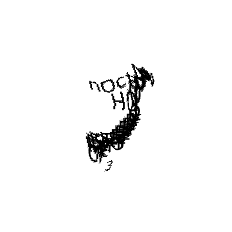 CCCCCCCCc1cc(-c2ncccn2)ccc1OCC(O)COCC(F)(F)C(F)(F)C(F)(F)C(F)(F)C(F)(F)C(F)(F)C(F)(F)OC(F)(F)C(F)(F)OC(F)(F)C(F)(F)C(F)(F)C(F)(F)F